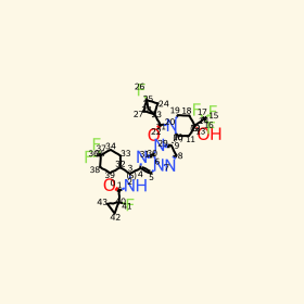 O=C(N[C@H](c1cn2ncc([C@H]3C[C@](O)(C(F)(F)F)CCN3C(=O)C34CC(F)(C3)C4)nc2n1)C1CCC(F)(F)CC1)C1(F)CC1